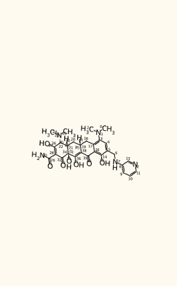 CN(C)c1cc(CNc2cccnc2)c(O)c2c1C[C@H]1C[C@H]3[C@@H](N(C)C)C(O)=C(C(N)=O)C(=O)[C@@]3(O)C(O)=C1C2=O